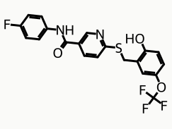 O=C(Nc1ccc(F)cc1)c1ccc(SCc2cc(OC(F)(F)F)ccc2O)nc1